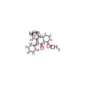 CCc1cccc(OC)c1C(=O)P(c1ccccc1)c1ccccc1